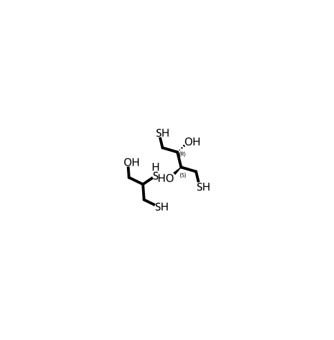 OCC(S)CS.O[C@H](CS)[C@@H](O)CS